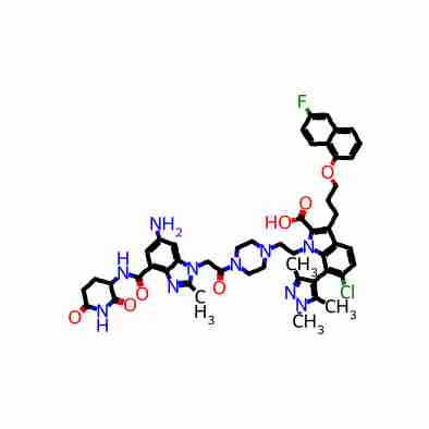 Cc1nn(C)c(C)c1-c1c(Cl)ccc2c(CCCOc3cccc4cc(F)ccc34)c(C(=O)O)n(CCN3CCN(C(=O)Cn4c(C)nc5c(C(=O)NC6CCC(=O)NC6=O)cc(N)cc54)CC3)c12